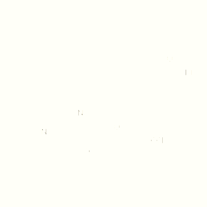 CCOc1ccc(-c2cc3cccnc3n2C(=O)OCC(Cl)(Cl)Cl)cc1